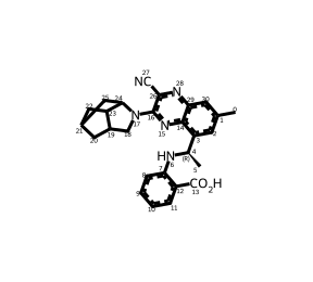 Cc1cc([C@@H](C)Nc2ccccc2C(=O)O)c2nc(N3CC4CC5CC4C3C5)c(C#N)nc2c1